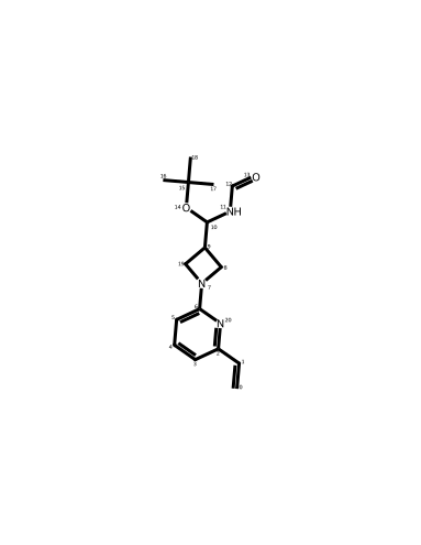 C=Cc1cccc(N2CC(C(NC=O)OC(C)(C)C)C2)n1